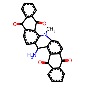 CN1c2ccc3c(c2C(N)c2ccc4c(c21)C(=O)c1ccccc1C4=O)C(=O)c1ccccc1C3=O